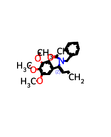 C=C/C=C(/c1cc(OC)c(OC)c(OC)c1)N(Cc1ccccc1)C(C)=O